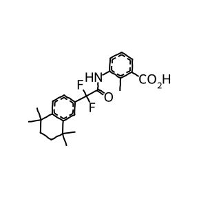 Cc1c(NC(=O)C(F)(F)c2ccc3c(c2)C(C)(C)CCC3(C)C)cccc1C(=O)O